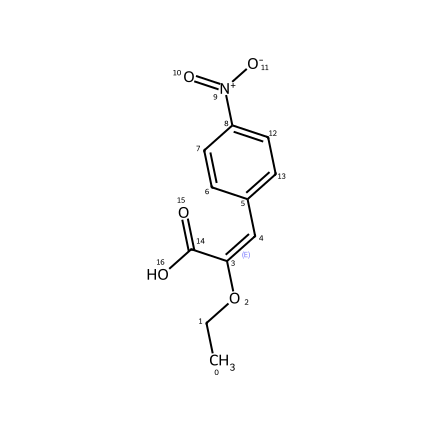 CCO/C(=C/c1ccc([N+](=O)[O-])cc1)C(=O)O